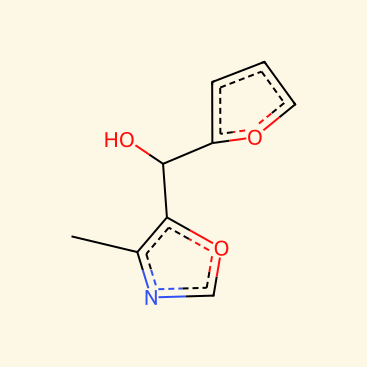 Cc1ncoc1C(O)c1ccco1